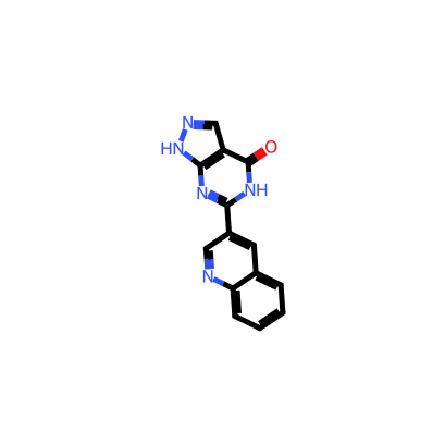 O=c1[nH]c(-c2cnc3ccccc3c2)nc2[nH]ncc12